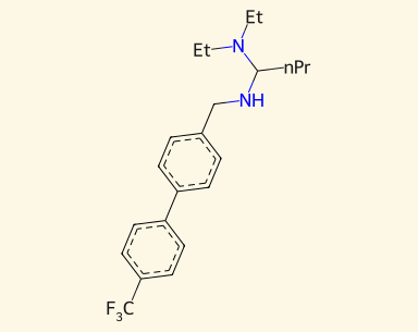 CCCC(NCc1ccc(-c2ccc(C(F)(F)F)cc2)cc1)N(CC)CC